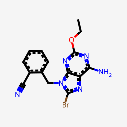 CCOc1nc(N)c2nc(Br)n(Cc3ccccc3C#N)c2n1